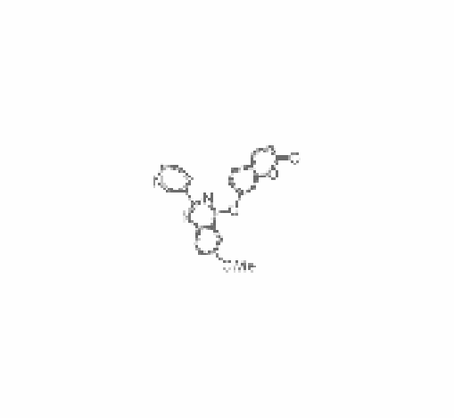 COc1ccc2nc(-c3cccnc3)nc(Oc3ccc4ccc(=O)oc4c3)c2c1